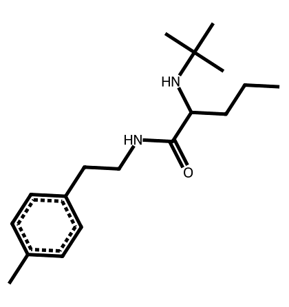 CCCC(NC(C)(C)C)C(=O)NCCc1ccc(C)cc1